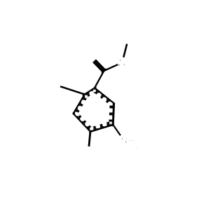 CNC(=O)c1cc(N)c(F)cc1C